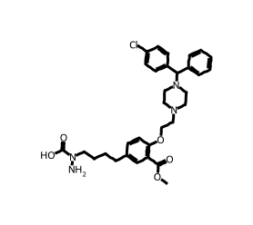 COC(=O)c1cc(CCCCN(N)C(=O)O)ccc1OCCN1CCN(C(c2ccccc2)c2ccc(Cl)cc2)CC1